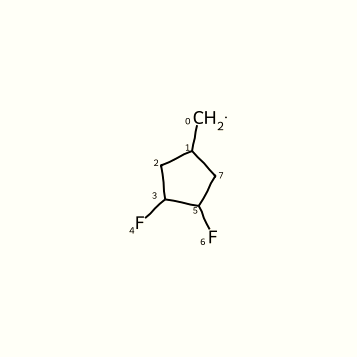 [CH2]C1CC(F)C(F)C1